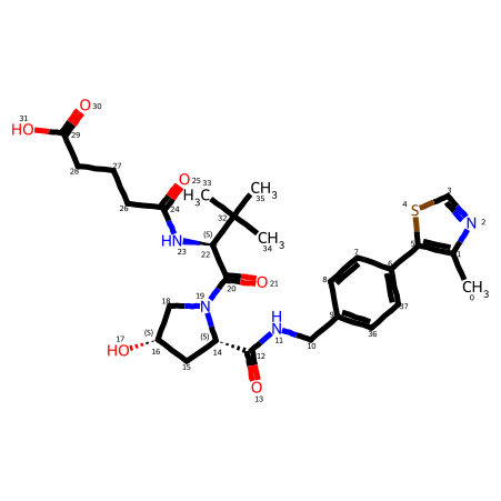 Cc1ncsc1-c1ccc(CNC(=O)[C@@H]2C[C@H](O)CN2C(=O)[C@@H](NC(=O)CCCC(=O)O)C(C)(C)C)cc1